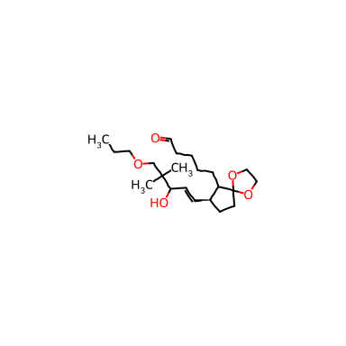 CCCOCC(C)(C)C(O)C=C[C@@H]1CCC2(OCCO2)C1CCCCC=O